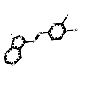 Oc1ccc(/N=N/c2snc3ncncc23)nc1F